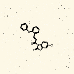 O=C(C=Cc1ccccc1Oc1ccccc1)n1c(=O)sc2cc(Cl)ccc21